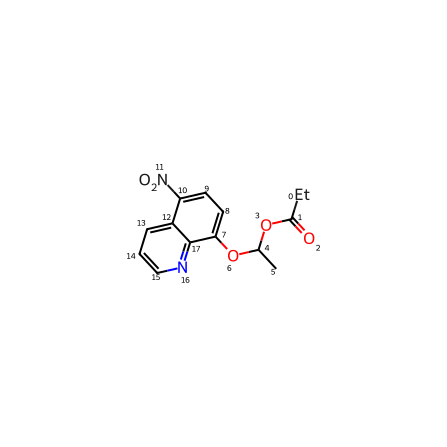 CCC(=O)OC(C)Oc1ccc([N+](=O)[O-])c2cccnc12